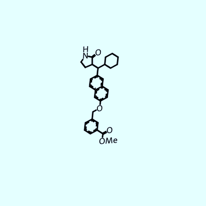 COC(=O)c1cccc(COc2ccc3cc(C(C4CCCCC4)C4CCNC4=O)ccc3c2)c1